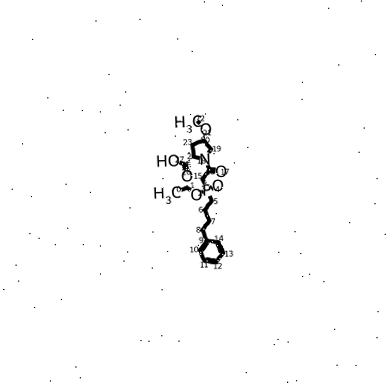 CCOP(=O)(CCCCc1ccccc1)CC(=O)N1C[C@@H](OC)C[C@H]1C(=O)O